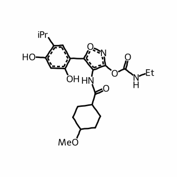 CCNC(=O)Oc1noc(-c2cc(C(C)C)c(O)cc2O)c1NC(=O)C1CCC(OC)CC1